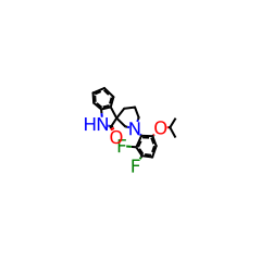 CC(C)Oc1ccc(F)c(F)c1N1CCCC2(C1)C(=O)Nc1ccccc12